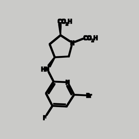 O=C(O)[C@@H]1C[C@H](Nc2cc(F)cc(Br)n2)CN1C(=O)O